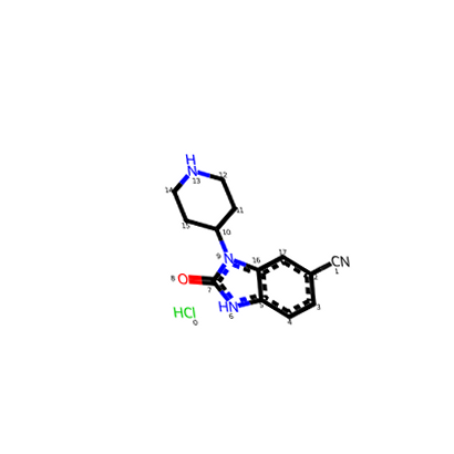 Cl.N#Cc1ccc2[nH]c(=O)n(C3CCNCC3)c2c1